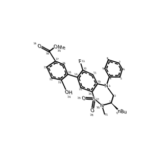 CCCC[C@@H]1CN(c2ccccc2)c2cc(F)c(-c3cc(C(=O)OC)ccc3O)cc2S(=O)(=O)N1C